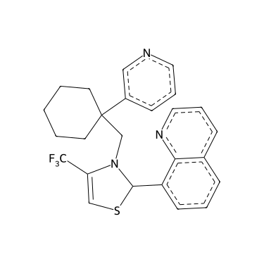 FC(F)(F)C1=CSC(c2cccc3cccnc23)N1CC1(c2cccnc2)CCCCC1